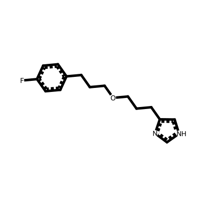 Fc1ccc(CCCOCCCc2c[nH]cn2)cc1